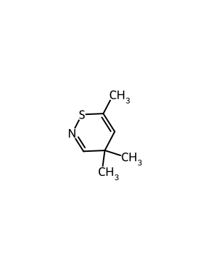 CC1=CC(C)(C)C=NS1